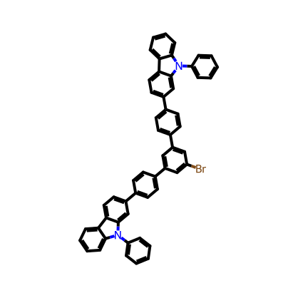 Brc1cc(-c2ccc(-c3ccc4c5ccccc5n(-c5ccccc5)c4c3)cc2)cc(-c2ccc(-c3ccc4c5ccccc5n(-c5ccccc5)c4c3)cc2)c1